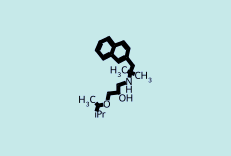 [CH2]C(C)C(C)OC[C@H](O)CNC(C)(C)Cc1ccc2ccccc2c1